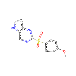 COc1ccc(S(=O)(=O)c2ncc3[nH]ccc3n2)cc1